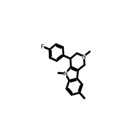 Cc1ccc2c(c1)c1c(n2C)C(c2ccc(F)cc2)CN(C)C1